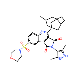 Cc1n[nH]c(C)c1N1C(=O)c2c(C34CC(C)CC5(CCC5C3)C4)nc3ccc(S(=O)(=O)N4CCOCC4)cc3c2C1=O